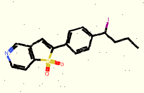 CCCC(I)c1ccc(C2=Cc3cnccc3S2(=O)=O)cc1